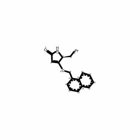 CC(C)C[C@@H]1NC(=O)C=C1OCc1cccc2ccccc12